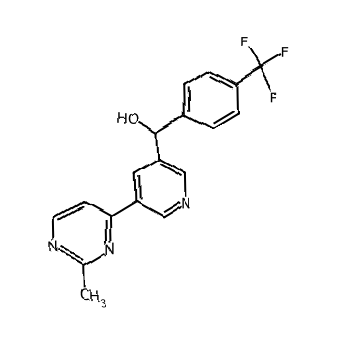 Cc1nccc(-c2cncc(C(O)c3ccc(C(F)(F)F)cc3)c2)n1